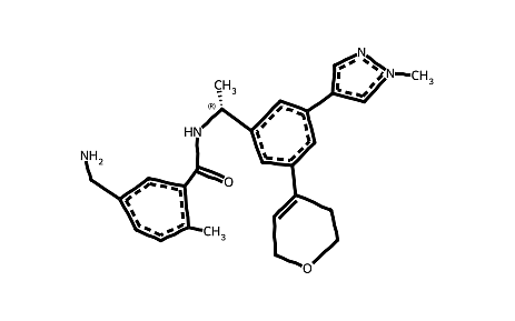 Cc1ccc(CN)cc1C(=O)N[C@H](C)c1cc(C2=CCOCC2)cc(-c2cnn(C)c2)c1